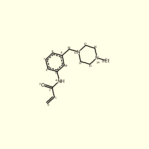 C=CC(=O)Nc1c[c]cc(CN2CCN(CC)CC2)c1